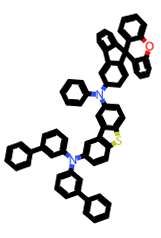 C1=C2C(=CCC1N(c1ccccc1)c1ccc3sc4ccc(N(c5cccc(-c6ccccc6)c5)c5cccc(-c6ccccc6)c5)cc4c3c1)C1(c3ccccc3Oc3ccccc31)c1ccccc12